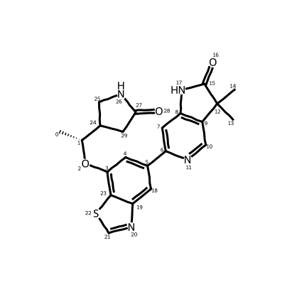 C[C@@H](Oc1cc(-c2cc3c(cn2)C(C)(C)C(=O)N3)cc2ncsc12)C1CNC(=O)C1